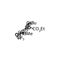 CCOC(=O)CCc1ccc2c(c1)N(C(=O)OC(C)(C)C)CCN2C(=O)Cc1ccc(NC(=O)Nc2ccccc2C)c(OC)c1